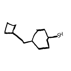 SC1CCC(CC2CCC2)CC1